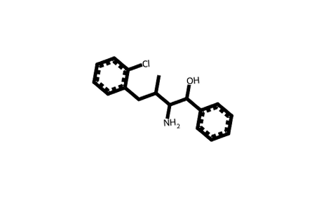 CC(Cc1ccccc1Cl)C(N)C(O)c1ccccc1